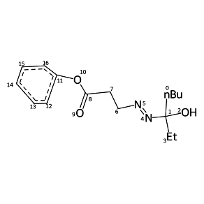 CCCCC(O)(CC)N=NCCC(=O)Oc1ccccc1